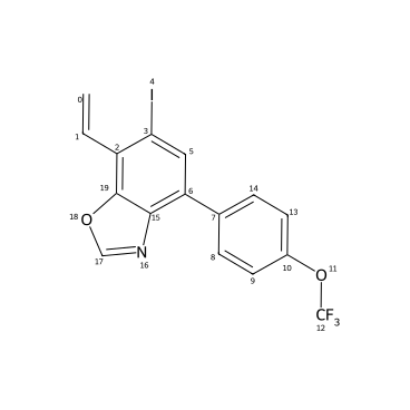 C=Cc1c(I)cc(-c2ccc(OC(F)(F)F)cc2)c2ncoc12